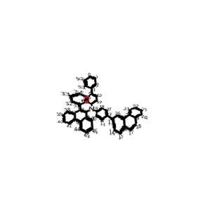 c1ccc(-c2ccc(N(c3ccc(-c4ccc5ccc6ccccc6c5c4)cc3)c3c(-c4ccccc4)c4ccccc4c4ccccc34)cc2)cc1